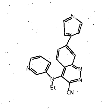 CCN(c1cccnc1)c1c(C#N)nnc2cc(-c3ccncc3)ccc12